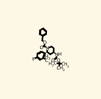 Cc1cc(F)ccc1[C@H]1C[C@H](NC(=O)OC(C)(C)C)CCN1C(=O)OCc1ccccc1